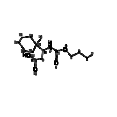 CCCCOC(=O)NC(CC(=O)O)C1(C)CCCCC1